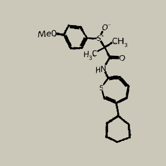 COc1ccc([S+]([O-])C(C)(C)C(=O)NC2=C=CCC(C3CCCCC3)=CS2)cc1